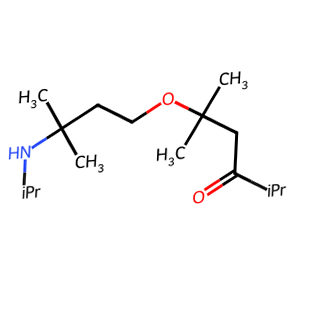 CC(C)NC(C)(C)CCOC(C)(C)CC(=O)C(C)C